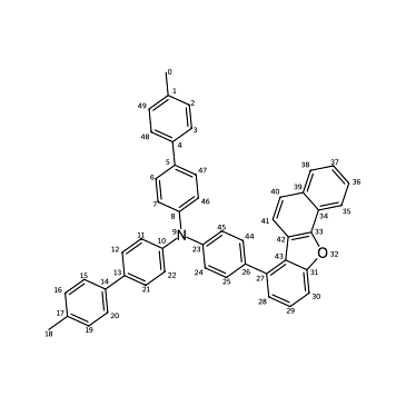 Cc1ccc(-c2ccc(N(c3ccc(-c4ccc(C)cc4)cc3)c3ccc(-c4cccc5oc6c7ccccc7ccc6c45)cc3)cc2)cc1